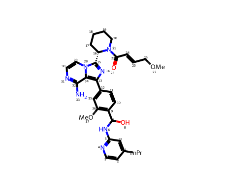 CCCc1ccnc(NC(O)c2ccc(-c3nc([C@@H]4CCCCN4C(=O)/C=C/COC)n4ccnc(N)c34)cc2OC)c1